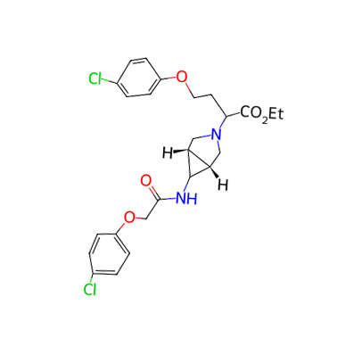 CCOC(=O)C(CCOc1ccc(Cl)cc1)N1C[C@@H]2C(NC(=O)COc3ccc(Cl)cc3)[C@@H]2C1